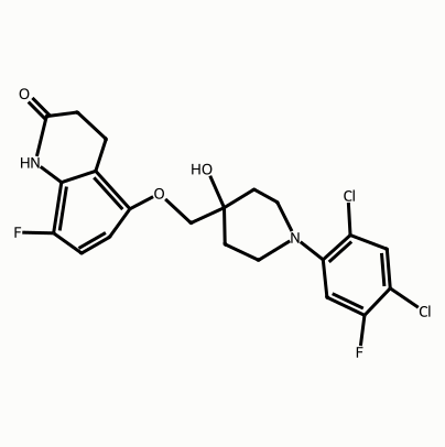 O=C1CCc2c(OCC3(O)CCN(c4cc(F)c(Cl)cc4Cl)CC3)ccc(F)c2N1